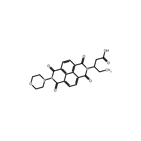 CCC(CC(=O)O)N1C(=O)c2ccc3c4c(ccc(c24)C1=O)C(=O)N(N1CCOCC1)C3=O